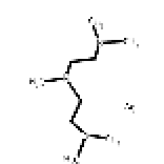 CN(C)CCN(C)CCN(C)C.[Ag]